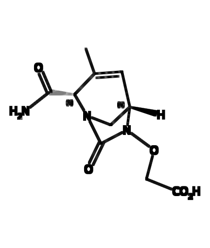 CC1=C[C@H]2CN(C(=O)N2OCC(=O)O)[C@@H]1C(N)=O